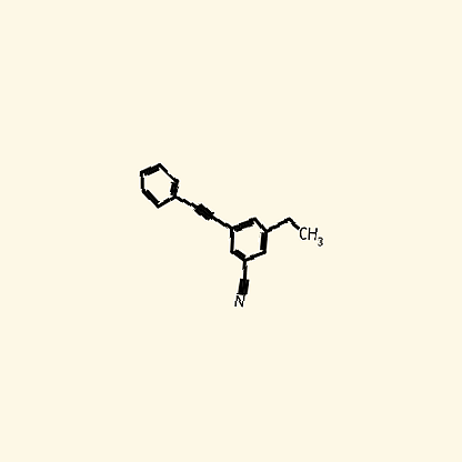 CCc1cc(C#N)cc(C#Cc2ccccc2)c1